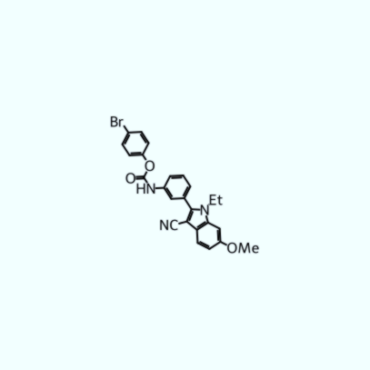 CCn1c(-c2cccc(NC(=O)Oc3ccc(Br)cc3)c2)c(C#N)c2ccc(OC)cc21